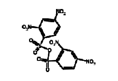 O=[N+]([O-])c1ccc(S(=O)(=O)OS(=O)(=O)c2ccc([N+](=O)[O-])cc2[N+](=O)[O-])c([N+](=O)[O-])c1